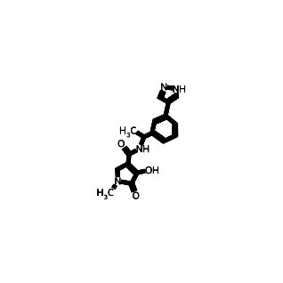 CC(NC(=O)C1=C(O)C(=O)N(C)C1)c1cccc(-c2cn[nH]c2)c1